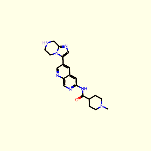 CN1CCC(C(=O)Nc2cc3cc(-c4cnc5n4CCNC5)cnc3cn2)CC1